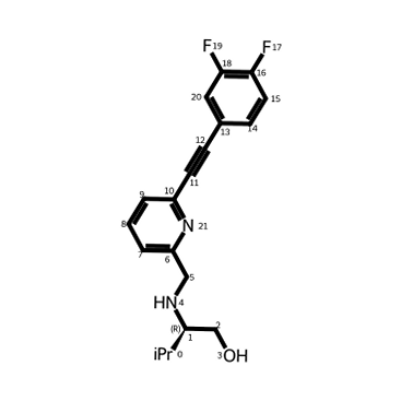 CC(C)[C@H](CO)NCc1cccc(C#Cc2ccc(F)c(F)c2)n1